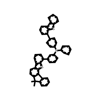 CC1(C)c2ccccc2-c2c1ccc1c2sc2c(-c3cccc(N(c4ccccc4)c4ccc(-c5cccc6c5sc5ccccc56)cc4)c3)cccc21